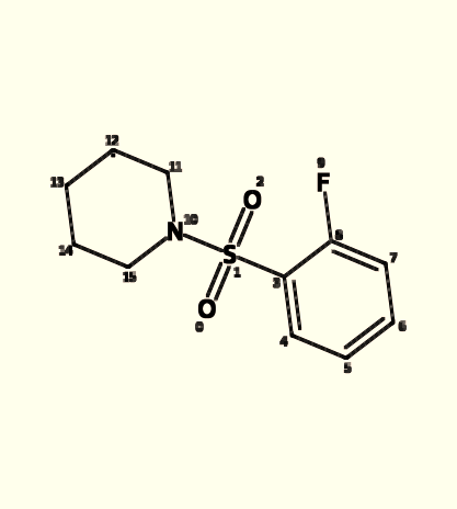 O=S(=O)(c1ccccc1F)N1C[CH]CCC1